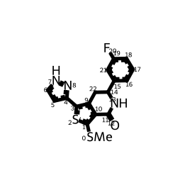 CSc1sc(-c2cc[nH]n2)c2c1C(=O)NC(c1cccc(F)c1)C2